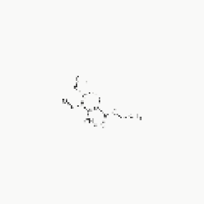 CCOC(=O)C1=C(C)C(C=O)=C(SC)CC1